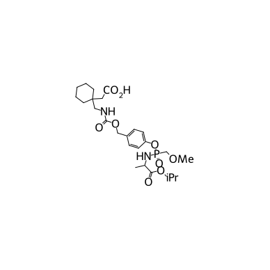 COCP(=O)(NC(C)C(=O)OC(C)C)Oc1ccc(COC(=O)NCC2(CC(=O)O)CCCCC2)cc1